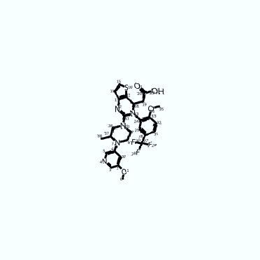 COc1cncc(N2CCN(C3=Nc4ccsc4C(CC(=O)O)N3c3cc(C(F)(F)F)ccc3OC)CC2C)c1